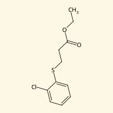 CCOC(=O)CCSc1ccccc1Cl